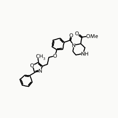 COC(=O)C1CNCCN1C(=O)c1cccc(OCCc2nc(-c3ccccc3)oc2C)c1